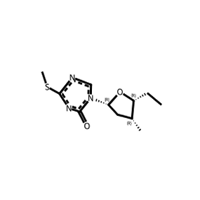 CC[C@H]1O[C@@H](n2cnc(SC)nc2=O)C[C@H]1C